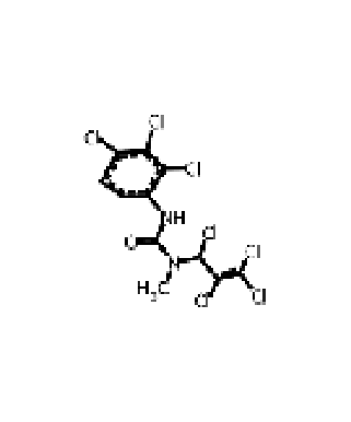 CN(C(=O)Nc1ccc(Cl)c(Cl)c1Cl)C(Cl)C(Cl)=C(Cl)Cl